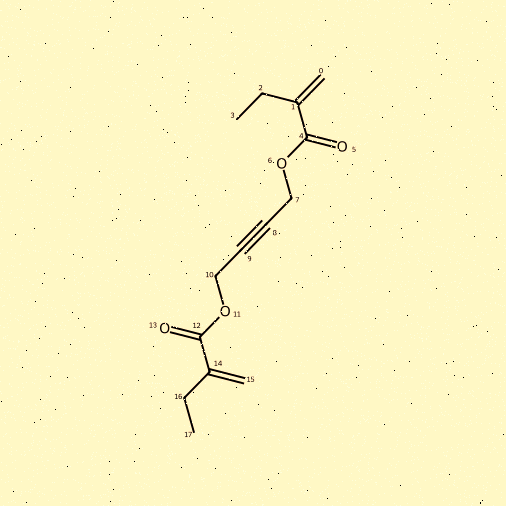 C=C(CC)C(=O)OCC#CCOC(=O)C(=C)CC